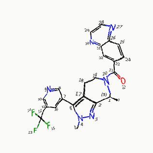 C[C@H]1c2nn(C)c(-c3cncc(C(F)(F)F)c3)c2CCN1C(=O)c1ccc2nccnc2c1